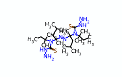 CCC(C)(C)N(C(=S)NN)C(C)(CC(C)C)/N=N/C(C)(CC(C)C)N(C(=S)NN)C(C)(C)CC